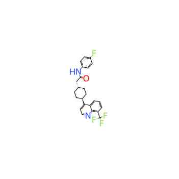 O=C(C[C@H]1CC[C@H](c2ccnc3c(C(F)(F)F)cccc32)CC1)Nc1ccc(F)cc1